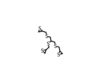 C(SCC1CS1)C(CSCC1CS1)SCC1CS1